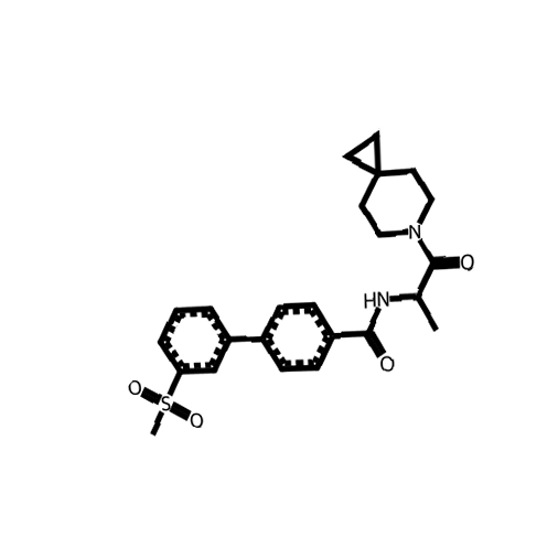 CC(NC(=O)c1ccc(-c2cccc(S(C)(=O)=O)c2)cc1)C(=O)N1CCC2(CC1)CC2